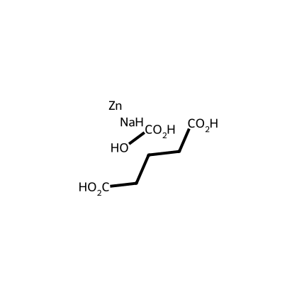 O=C(O)CCCC(=O)O.O=C(O)O.[NaH].[Zn]